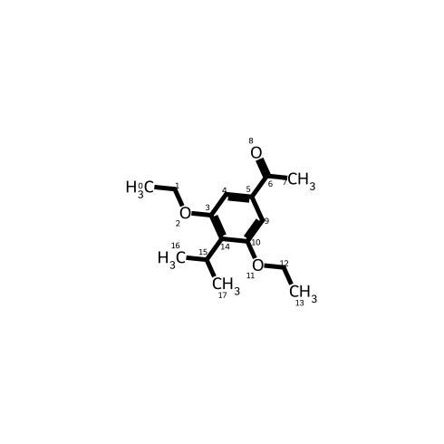 CCOc1cc(C(C)=O)cc(OCC)c1C(C)C